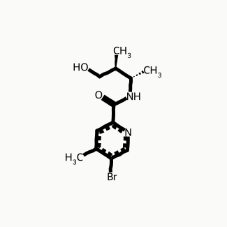 Cc1cc(C(=O)N[C@@H](C)[C@H](C)CO)ncc1Br